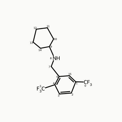 FC(F)(F)c1ccc(C(F)(F)F)c(CNC2CCCCC2)c1